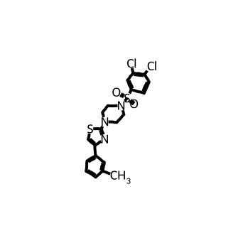 Cc1cccc(-c2csc(N3CCN(S(=O)(=O)c4ccc(Cl)c(Cl)c4)CC3)n2)c1